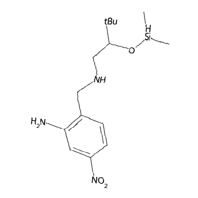 C[SiH](C)OC(CNCc1ccc([N+](=O)[O-])cc1N)C(C)(C)C